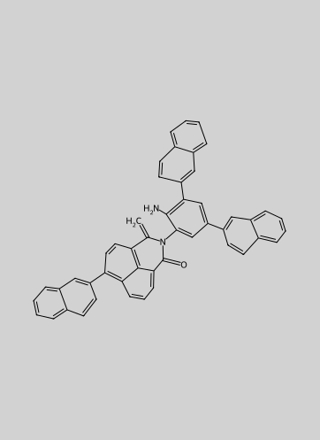 C=c1c2ccc(-c3ccc4ccccc4c3)c3cccc(c(=O)n1-c1cc(-c4ccc5ccccc5c4)cc(-c4ccc5ccccc5c4)c1N)c32